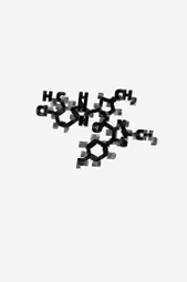 C=C1CC(c2nc3ccc(Cl)c(C)c3[nH]2)N(C(=O)c2nc(C)sc2-c2ccc(F)cc2)C1